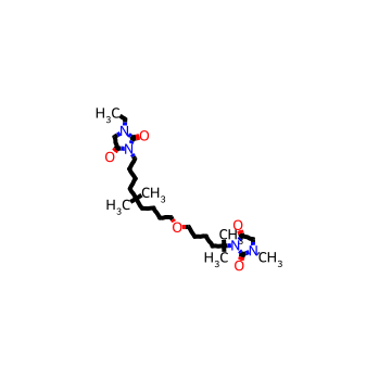 CCN1CC(=O)N(CCCCC(C)(C)CCCCOCCCCC(C)(C)N2C(=O)CN(C)C2=O)C1=O